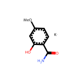 COc1ccc(C(N)=O)c(O)c1.[K]